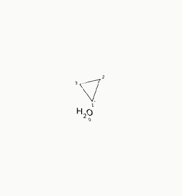 O.[CH]1CC1